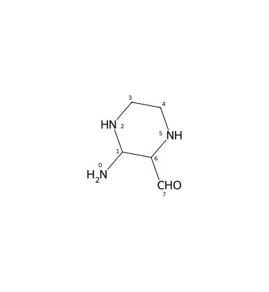 NC1NCCNC1C=O